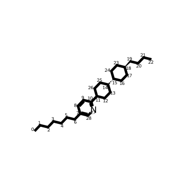 CCCCCCCc1ccc(C2CCC([C@H]3CC[C@H](CCCC)CC3)CC2)nc1